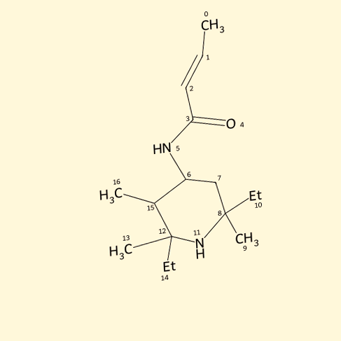 CC=CC(=O)NC1CC(C)(CC)NC(C)(CC)C1C